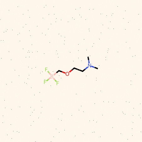 CN(C)CCOC[B-](F)(F)F